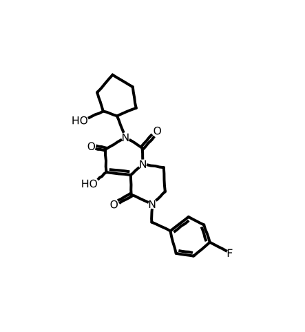 O=C1c2c(O)c(=O)n(C3CCCCC3O)c(=O)n2CCN1Cc1ccc(F)cc1